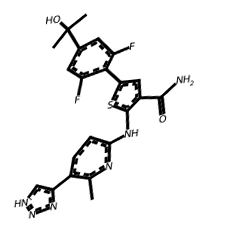 Cc1nc(Nc2sc(-c3c(F)cc(C(C)(C)O)cc3F)cc2C(N)=O)ccc1-c1c[nH]nn1